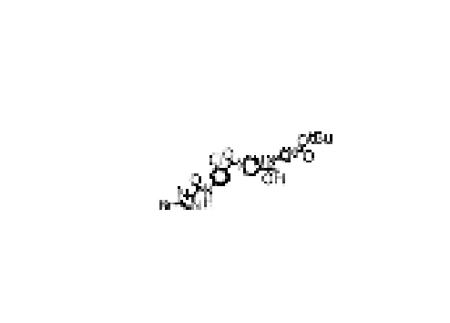 Cn1c(Br)cnc1C(=O)Nc1ccc(C(=O)N2CCC(C(C)(O)NC3CN(C(=O)OC(C)(C)C)C3)CC2)c(Cl)c1